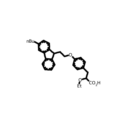 CCCCc1ccc2c(c1)-c1ccccc1C2CCOc1ccc(CC(OCC)C(=O)O)cc1